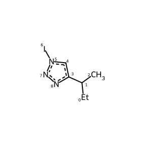 CCC(C)c1cn(I)nn1